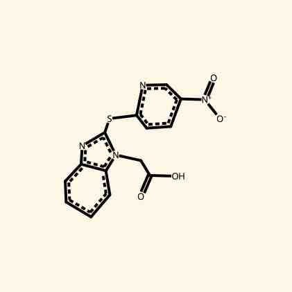 O=C(O)Cn1c(Sc2ccc([N+](=O)[O-])cn2)nc2ccccc21